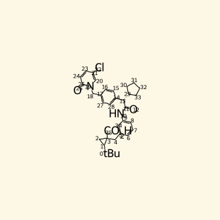 CC(C)(C)C1CC1(Cc1cccc(NC(=O)[C@H](c2ccc(Cn3cc(Cl)ccc3=O)cc2)C2CCCC2)c1)C(=O)O